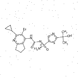 CCc1c(C2CC2)nc2c(c1NC(=O)N=[S@@](N)(=O)c1cnc(C(C)(C)O)s1)CCC2